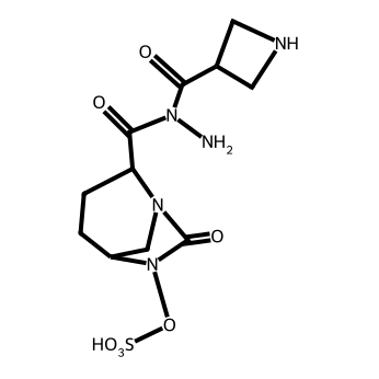 NN(C(=O)C1CNC1)C(=O)C1CCC2CN1C(=O)N2OS(=O)(=O)O